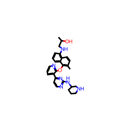 Cc1ccc2c(NCC(C)O)cccc2c1Oc1ncccc1-c1ccnc(NC2CCCNC2)n1